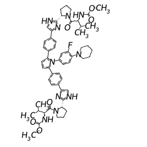 COC(=O)N[C@H](C(=O)N1CCC[C@H]1c1nc(-c2ccc(-c3ccc(-c4ccc(-c5c[nH]c([C@@H]6CCCN6C(=O)[C@@H](NC(=O)OC)C(C)C)n5)cc4)n3-c3ccc(N4CCCCC4)c(F)c3)cc2)c[nH]1)C(C)C